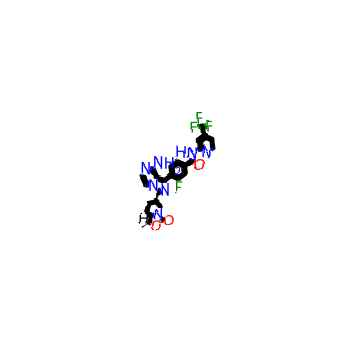 C[C@H]1OC(=O)N2C[C@H](c3nc(-c4ccc(C(=O)Nc5cc(C(F)(F)F)ccn5)cc4F)c4c(N)nccn34)CC[C@@H]12